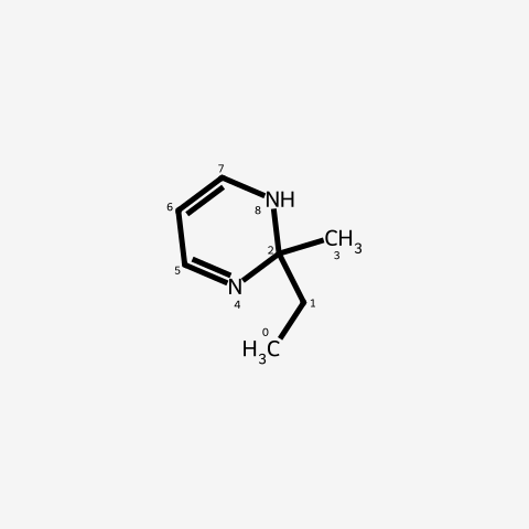 CCC1(C)N=CC=CN1